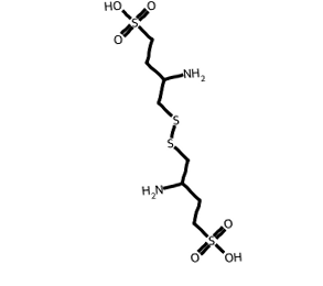 NC(CCS(=O)(=O)O)CSSCC(N)CCS(=O)(=O)O